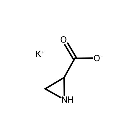 O=C([O-])C1CN1.[K+]